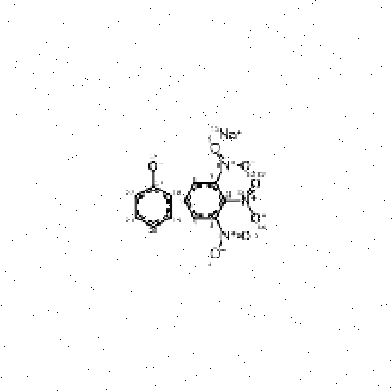 O=[N+]([O-])c1cccc([N+](=O)[O-])c1[N+](=O)[O-].[Na+].[O-]c1ccccc1